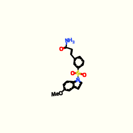 COc1ccc2c(ccn2S(=O)(=O)c2cccc(C=CC(N)=O)c2)c1